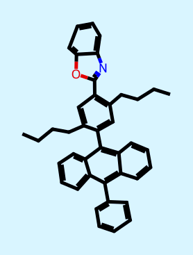 CCCCc1cc(-c2c3ccccc3c(-c3ccccc3)c3ccccc23)c(CCCC)cc1-c1nc2ccccc2o1